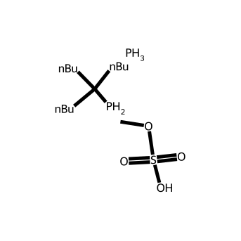 CCCCC(P)(CCCC)CCCC.COS(=O)(=O)O.P